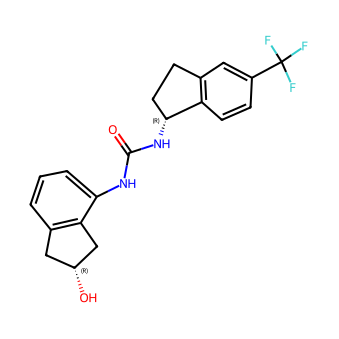 O=C(Nc1cccc2c1C[C@H](O)C2)N[C@@H]1CCc2cc(C(F)(F)F)ccc21